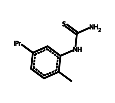 Cc1ccc(C(C)C)cc1NC(N)=S